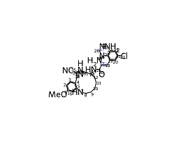 COc1ccc2c(c1)NCCCCC[C@H](NC(=O)/C=C/c1cc(Cl)ccc1N(N)/C=N\N)c1nc-2c(C#N)[nH]1